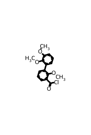 COc1cccc(-c2cccc(C(=O)Cl)c2OC)c1OC